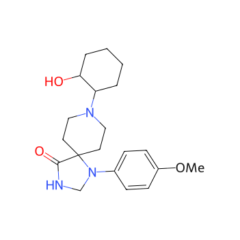 COc1ccc(N2CNC(=O)C23CCN(C2CCCCC2O)CC3)cc1